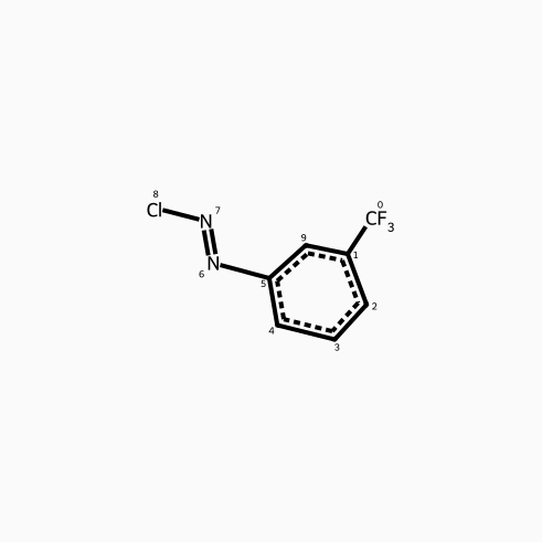 FC(F)(F)c1cccc(N=NCl)c1